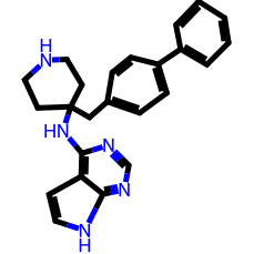 c1ccc(-c2ccc(CC3(Nc4ncnc5[nH]ccc45)CCNCC3)cc2)cc1